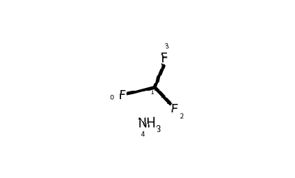 FC(F)F.N